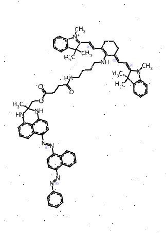 CN1/C(=C/C=C2\CCCC(/C=C/C3=[N+](C)c4ccccc4C3(C)C)=C2NCCCCNC(=O)CCC(=O)OCC2(C)Nc3cccc4c(/N=N/c5ccc(/N=N/c6ccccc6)c6ccccc56)ccc(c34)N2)C(C)(C)c2ccccc21